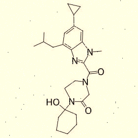 CC(C)Cc1cc(C2CC2)cc2c1nc(C(=O)N1CCN(C3(O)CCCCC3)C(=O)C1)n2C